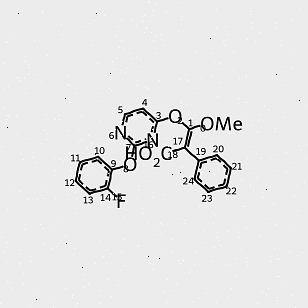 COC(Oc1ccnc(Oc2ccccc2F)n1)=C(C(=O)O)c1ccccc1